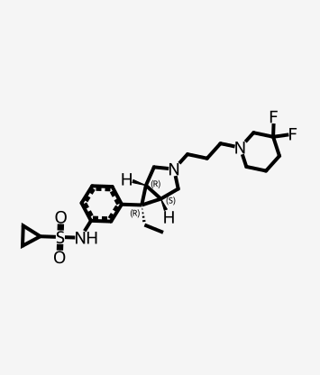 CC[C@]1(c2cccc(NS(=O)(=O)C3CC3)c2)[C@@H]2CN(CCCN3CCCC(F)(F)C3)C[C@@H]21